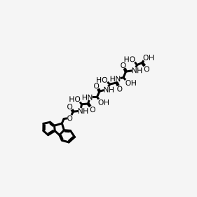 O=C(NC(O)C(=O)NC(O)C(=O)NC(O)C(=O)NC(O)C(=O)NC(O)C(=O)O)OCC1c2ccccc2-c2ccccc21